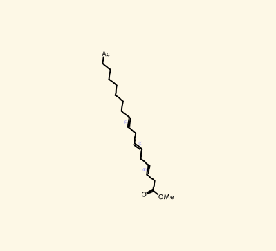 COC(=O)C/C=C/C/C=C/C/C=C/CCCCCCCC(C)=O